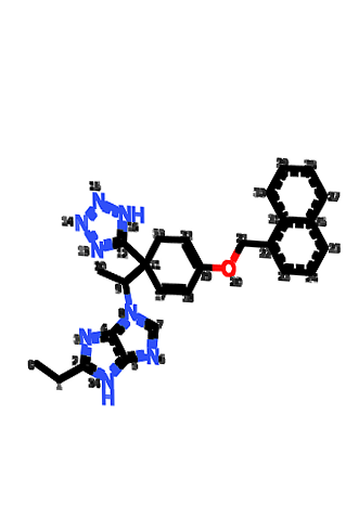 CCc1nc2c(ncn2C(C)C2(c3nnn[nH]3)C=CC(OCc3cccc4ccccc34)=CC2)[nH]1